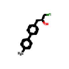 Cc1ccc(-c2ccc(CC(O)CCl)cc2)cc1